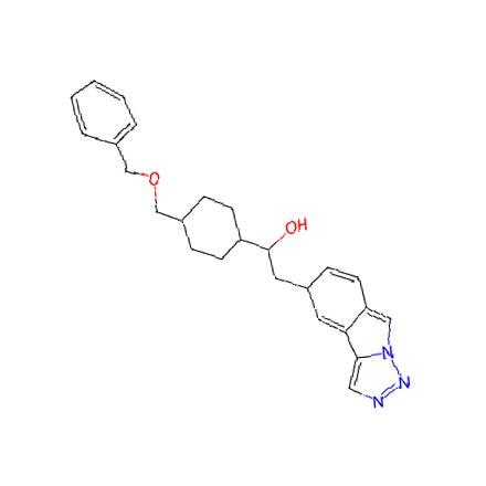 OC(CC1C=Cc2cn3nncc3c2=C1)C1CCC(COCc2ccccc2)CC1